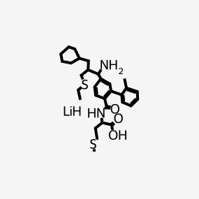 CCSCC(CC1CCCCC1)C(N)c1ccc(C(=O)NC(CCSC)C(=O)O)c(-c2ccccc2C)c1.[LiH]